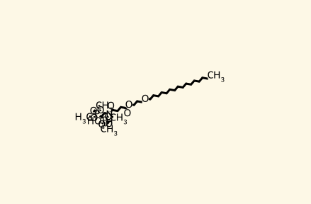 CCCCCCCCCCCCCCCCOCCCOC(=O)CCC(=O)NCC(O)(P(=O)(OC)OC)P(=O)(OC)OC